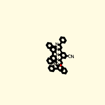 N#Cc1cc(-c2cc(-c3ccccc3)nc(-c3ccccc3)n2)c(-n2c3ccccc3c3ccc(-n4c5ccccc5c5ccccc54)cc32)c(-c2cc(-c3ccccc3)nc(-c3ccccc3)n2)c1